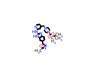 Cc1nnc(-c2ccc3nc(Nc4cc(CN5CCN(C(=O)OC(C)(C)C)CC5)ccn4)[nH]c3c2)o1